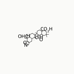 CC1(C)CC[C@]2(C(=O)O)CC[C@]3(C)[C@H](C(=O)C=C4[C@@]5(C)Cc6cnoc6[C@@](C)(C=O)[C@@H]5CC[C@]43C)[C@@H]2C1